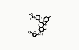 COC(=O)N1CCO[C@@H](Cc2c(-c3c(F)cc(Nc4ccc(Cl)o4)cc3F)nc3cc(C)ccn23)C1